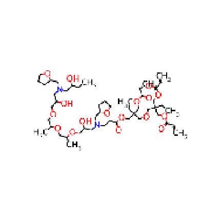 C=CC(=O)OCC(CC)(COCC(CC)(COC(=O)C=C)COC(=O)CCN(CC(O)COC(C)COC(C)COCC(O)CN(CC(O)CC)CC1CCCO1)CC1CCCO1)COC(=O)C=C